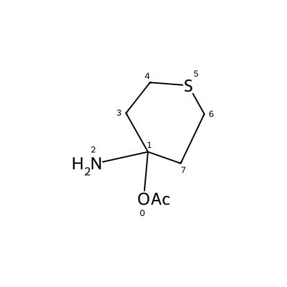 CC(=O)OC1(N)CCSCC1